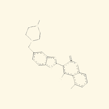 CN1CCN(Cc2ccc3nc(-c4c(N)c5c(F)cccc5[nH]c4=O)[nH]c3c2)CC1